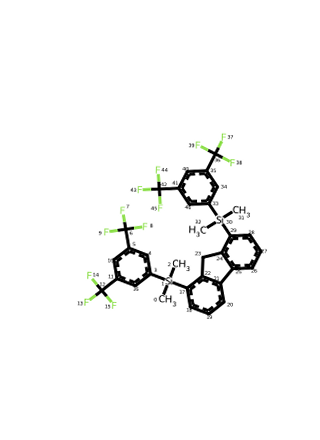 C[Si](C)(c1cc(C(F)(F)F)cc(C(F)(F)F)c1)c1cccc2c1Cc1c-2cccc1[Si](C)(C)c1cc(C(F)(F)F)cc(C(F)(F)F)c1